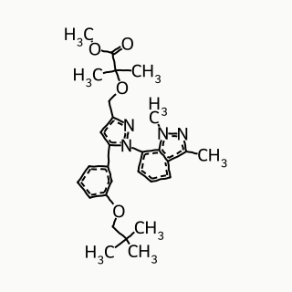 COC(=O)C(C)(C)OCc1cc(-c2cccc(OCC(C)(C)C)c2)n(-c2cccc3c(C)nn(C)c23)n1